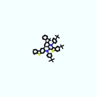 CC(C)(C)c1ccc(N2B3c4sc5ccc(C(C)(C)C)cc5c4N(c4ccc(C(C)(C)C)cc4)c4c3c(cc3c4C(C)(C)c4ccccc4-3)-c3cc4c(cc32)sc2ccccc24)cc1